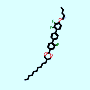 CCC/C=C\Oc1ccc(-c2ccc(-c3ccc(C4OCC(CCCCCCCCCC)CO4)cc3F)cc2)c(F)c1F